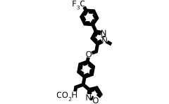 Cn1nc(-c2ccc(C(F)(F)F)cc2)cc1COc1ccc(C(CC(=O)O)c2ccon2)cc1